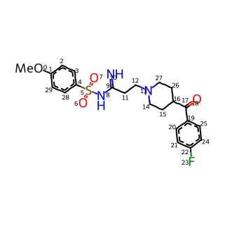 COc1ccc(S(=O)(=O)NC(=N)CCN2CCC(C(=O)c3ccc(F)cc3)CC2)cc1